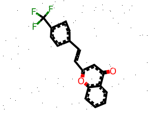 O=c1cc(/C=C/c2ccc(C(F)(F)F)cc2)oc2ccccc12